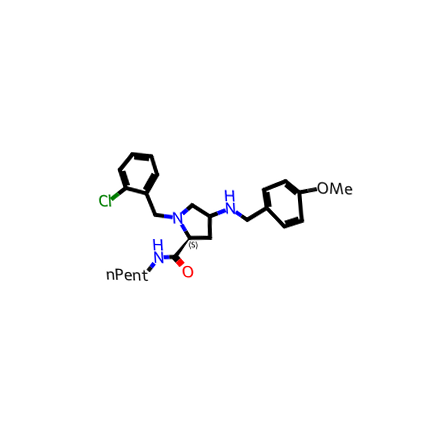 CCCCCNC(=O)[C@@H]1CC(NCc2ccc(OC)cc2)CN1Cc1ccccc1Cl